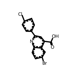 O=C(O)c1cc(-c2ccc(Cl)cc2)nc2ccc(Br)cc12